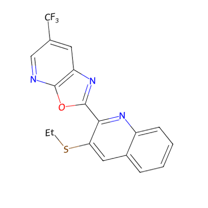 CCSc1cc2ccccc2nc1-c1nc2cc(C(F)(F)F)cnc2o1